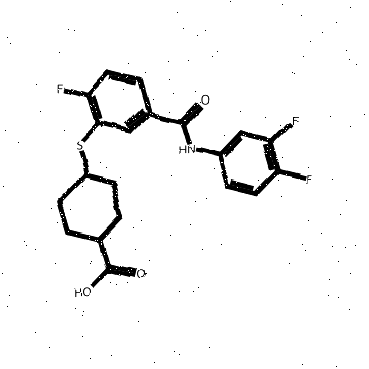 O=C(Nc1ccc(F)c(F)c1)c1ccc(F)c(SC2CCC(C(=O)O)CC2)c1